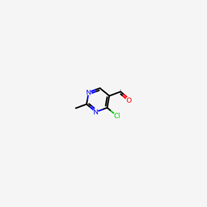 Cc1ncc([C]=O)c(Cl)n1